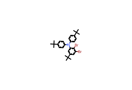 CC(C)(C)c1ccc(N(c2ccc(C(C)(C)C)cc2)c2cc(C(C)(C)C)cc(Br)c2Br)cc1